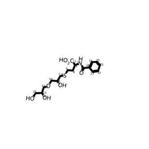 O=C(NC(CCSCC(O)COCC(O)CO)C(=O)O)c1ccccc1